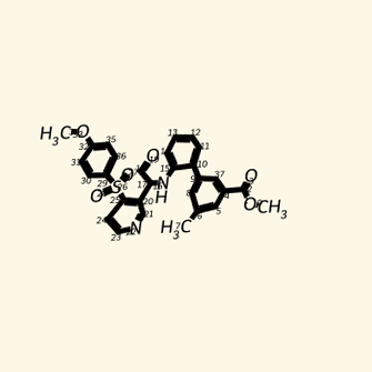 COC(=O)c1cc(C)cc(-c2ccccc2NC(C=O)c2cnccc2S(=O)(=O)c2ccc(OC)cc2)c1